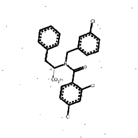 O=C(O)[C@H](Cc1ccccc1)N(Cc1cccc(Cl)c1)C(=O)c1ccc(Cl)cc1Cl